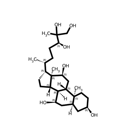 C[C@H](CC[C@H](O)C(C)(O)CO)[C@H]1CC[C@H]2[C@@H]3[C@H](O)C[C@@H]4C[C@H](O)CC[C@]4(C)[C@H]3C[C@H](O)[C@]12C